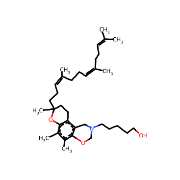 CC(C)=CCCC(C)=CCCC(C)=CCCC1(C)CCc2c3c(c(C)c(C)c2O1)OCN(CCCCCO)C3